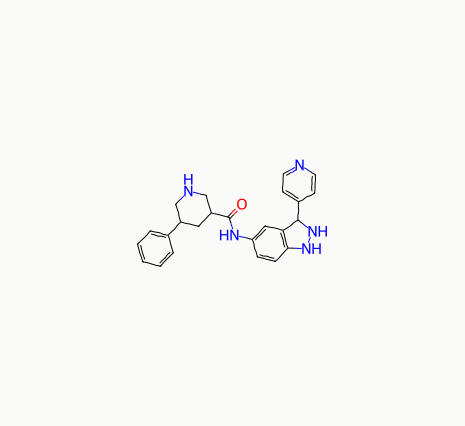 O=C(Nc1ccc2c(c1)C(c1ccncc1)NN2)C1CNCC(c2ccccc2)C1